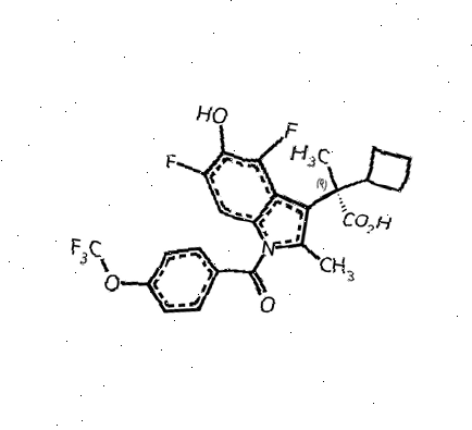 Cc1c([C@](C)(C(=O)O)C2CCC2)c2c(F)c(O)c(F)cc2n1C(=O)c1ccc(OC(F)(F)F)cc1